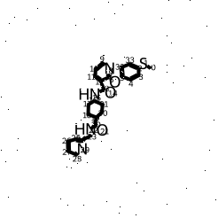 CSc1ccc(Oc2ncccc2C(=O)NC2CCC(C(=O)NCc3ccccn3)CC2)cc1